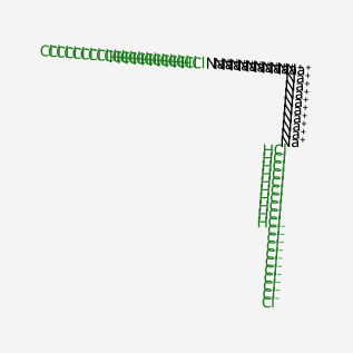 Cl.Cl.Cl.Cl.Cl.Cl.Cl.Cl.Cl.Cl.Cl.Cl.Cl.Cl.Cl.Cl.Cl.Cl.Cl.Cl.[Cl-].[Cl-].[Cl-].[Cl-].[Cl-].[Cl-].[Cl-].[Cl-].[Cl-].[Cl-].[Cl-].[Cl-].[Cl-].[Cl-].[Cl-].[Cl-].[Cl-].[Cl-].[Cl-].[Cl-].[Na+].[Na+].[Na+].[Na+].[Na+].[Na+].[Na+].[Na+].[Na+].[Na+].[Na+].[Na+].[Na+].[Na+].[Na+].[Na+].[Na+].[Na+].[Na+].[Na+]